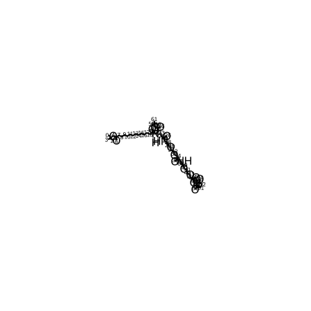 CC(C)(C)OC(=O)CCCCCCCCCCCCC(=O)N[C@@H](CCC(=O)NCCOCCOCC(=O)NCCOCCOCC(=O)ON1C(=O)CCC1=O)C(=O)OC(C)(C)C